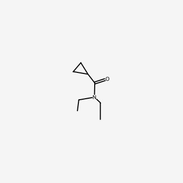 CCN(CC)C(=O)C1CC1